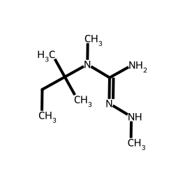 CCC(C)(C)N(C)/C(N)=N/NC